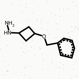 NNC1CC(OCc2ccccc2)C1